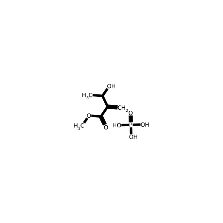 C=C(C(=O)OC)C(C)O.O=P(O)(O)O